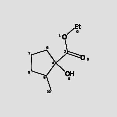 CCOC(=O)C1(O)CCCC1C